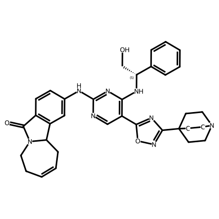 O=C1c2ccc(Nc3ncc(-c4nc(C56CCN(CC5)CC6)no4)c(N[C@H](CO)c4ccccc4)n3)cc2C2CC=CCCN12